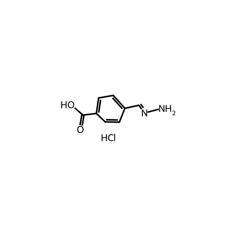 Cl.NN=Cc1ccc(C(=O)O)cc1